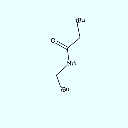 CCC(C)CNC(=O)CC(C)(C)C